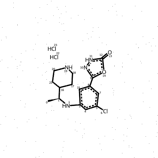 C[C@H](Nc1cc(Cl)cc(-c2n[nH]c(=O)o2)c1)C1CCNCC1.Cl.Cl